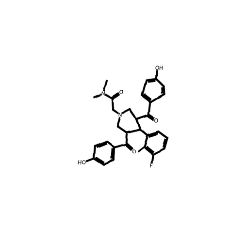 Cc1c(F)cccc1C1C(C(=O)c2ccc(O)cc2)CN(CC(=O)N(C)C)CC1C(=O)c1ccc(O)cc1